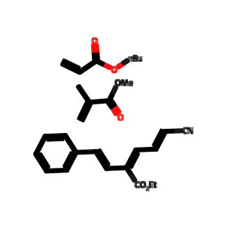 C=C(C)C(=O)OC.C=CC(=O)OCCCC.CCOC(=O)C(C=Cc1ccccc1)=CC=CC#N